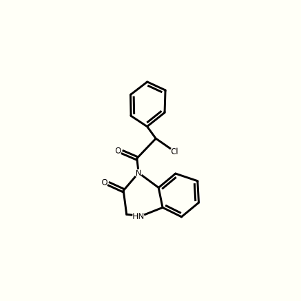 O=C1CNc2ccccc2N1C(=O)C(Cl)c1ccccc1